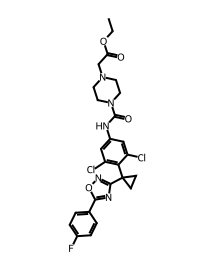 CCOC(=O)CN1CCN(C(=O)Nc2cc(Cl)c(C3(c4noc(-c5ccc(F)cc5)n4)CC3)c(Cl)c2)CC1